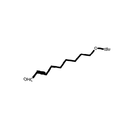 CC(C)(C)OCCCCCC/C=C/C=O